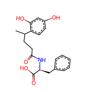 CC(CCC(=O)N[C@@H](Cc1ccccc1)C(=O)O)c1ccc(O)cc1O